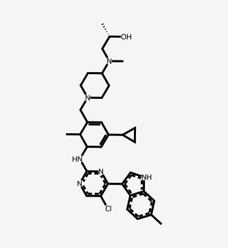 Cc1ccc2c(-c3nc(NC4C=C(C5CC5)C=C(CN5CCC(N(C)C[C@H](C)O)CC5)C4C)ncc3Cl)c[nH]c2c1